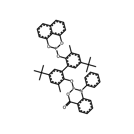 Cc1cc(C(C)(C)C)cc(-c2cc(C(C)(C)C)cc(C)c2OP2OC(=O)c3ccccc3N2c2ccccc2)c1OP1Oc2cccc3cccc(c23)O1